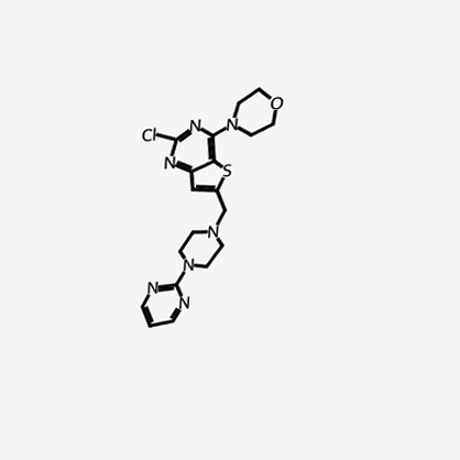 Clc1nc(N2CCOCC2)c2sc(CN3CCN(c4ncccn4)CC3)cc2n1